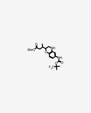 COC(=O)CC(C)C1CNc2cc(NC(=O)OC(C)(C)C(F)(F)F)ccc2O1